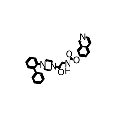 O=C(NCC(=O)N1CCN(c2ccccc2-c2ccccc2)CC1)Oc1ccc2ccncc2c1